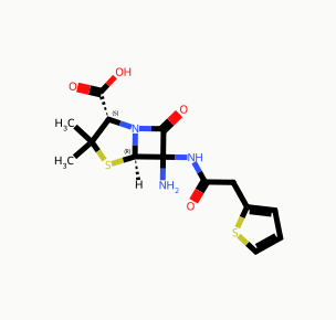 CC1(C)S[C@H]2N(C(=O)C2(N)NC(=O)Cc2cccs2)[C@H]1C(=O)O